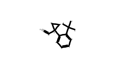 CC(C)(C)c1ccccc1C1(C=O)CC1